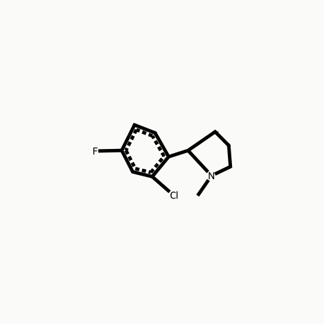 CN1CC[CH]C1c1ccc(F)cc1Cl